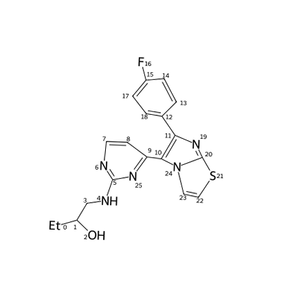 CCC(O)CNc1nccc(-c2c(-c3ccc(F)cc3)nc3sccn23)n1